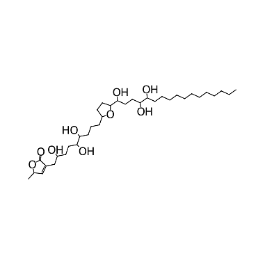 CCCCCCCCCCCCC(O)C(O)CCC(O)C1CCC(CCCC(O)C(O)CCC(O)CC2=CC(C)OC2=O)O1